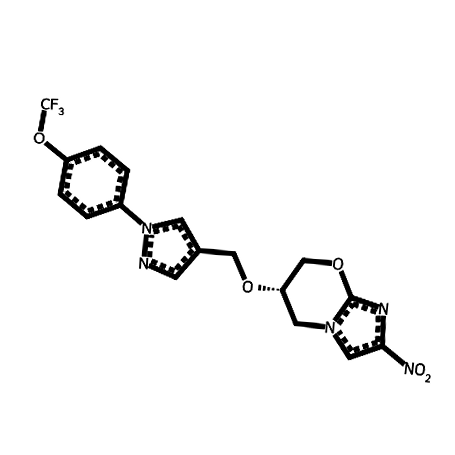 O=[N+]([O-])c1cn2c(n1)OC[C@@H](OCc1cnn(-c3ccc(OC(F)(F)F)cc3)c1)C2